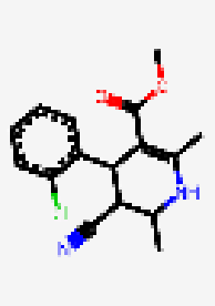 COC(=O)C1=C(C)NC(C)C(C#N)C1c1ccccc1Cl